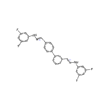 Fc1cc(F)cc(N/N=C/c2ccc(-c3cccc(/C=N/Nc4cc(F)cc(F)c4)c3)cc2)c1